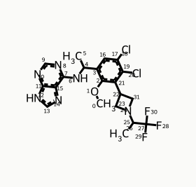 COc1c(C(C)Nc2ncnc3[nH]cnc23)cc(Cl)c(Cl)c1C1CN(C(C)C(F)(F)F)C1